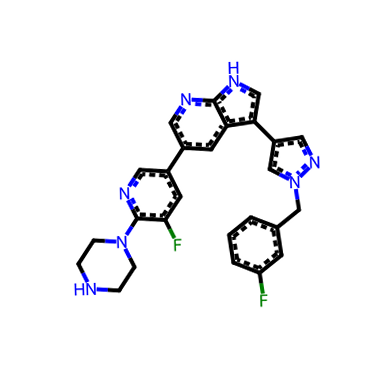 Fc1cccc(Cn2cc(-c3c[nH]c4ncc(-c5cnc(N6CCNCC6)c(F)c5)cc34)cn2)c1